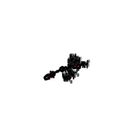 COC(=O)NC(C(=O)NC(Cc1ccc(C#Cc2cnc(N3CC4CCC(C3)N4C3COC3)nc2)cc1)C(CN(Cc1c(F)cc(-c2ccn(C(F)F)n2)cc1F)NC(=O)C(NC(=O)OC)C(C)(C)C(F)(F)F)OC=O)C(C)(C)C(F)(F)F